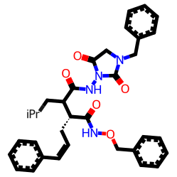 CC(C)CC(C(=O)NN1C(=O)CN(Cc2ccccc2)C1=O)[C@@H](C/C=C\c1ccccc1)C(=O)NOCc1ccccc1